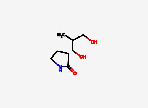 CC(CO)CO.O=C1CCCN1